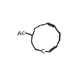 CC(=O)C1CC/C=C\CC/C=C\CCC1